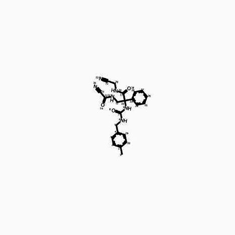 Cc1ccc(CNC(=O)NC(CNC(=O)C#N)(C(=O)NCC#N)c2ccccc2)cc1